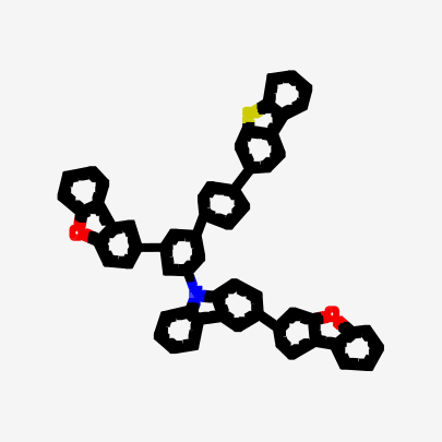 c1ccc2c(c1)oc1cc(-c3ccc4c(c3)c3ccccc3n4-c3cc(-c4ccc(-c5ccc6c(c5)sc5ccccc56)cc4)cc(-c4ccc5oc6ccccc6c5c4)c3)ccc12